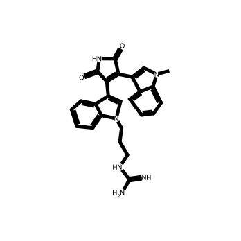 Cn1cc(C2=C(c3cn(CCCNC(=N)N)c4ccccc34)C(=O)NC2=O)c2ccccc21